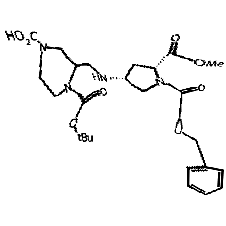 COC(=O)[C@H]1C[C@@H](NCC2CN(C(=O)O)CCN2C(=O)OC(C)(C)C)CN1C(=O)OCc1ccccc1